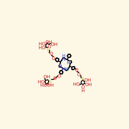 OCC1CC(SCCOCCOc2ccc(-c3c4nc(c(-c5ccccc5)c5ccc([nH]5)c(-c5ccc(OCCOCCSC6OC(CO)C(O)C(O)C6O)cc5)c5nc(c(-c6ccc(OCCOCCSC7CC(CO)C(O)C(O)C7O)cc6)c6ccc3[nH]6)C=C5)C=C4)cc2)C(O)C(O)C1O